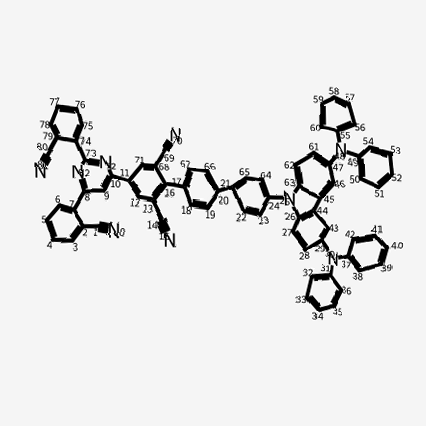 N#Cc1ccccc1-c1cc(-c2cc(C#N)c(-c3ccc(-c4ccc(-n5c6ccc(N(c7ccccc7)c7ccccc7)cc6c6cc(N(c7ccccc7)c7ccccc7)ccc65)cc4)cc3)c(C#N)c2)nc(-c2ccccc2C#N)n1